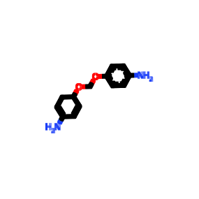 NC1=CCC(OCOc2ccc(N)cc2)C=C1